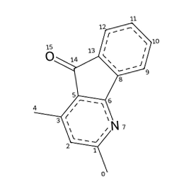 Cc1cc(C)c2c(n1)-c1ccccc1C2=O